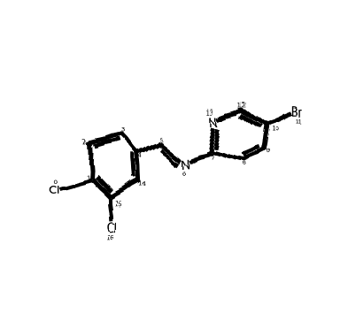 Clc1ccc(/C=N/c2ccc(Br)cn2)cc1Cl